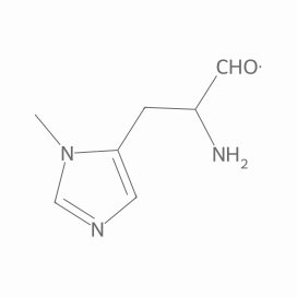 Cn1cncc1CC(N)[C]=O